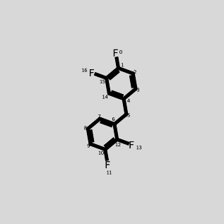 Fc1ccc([CH]c2cccc(F)c2F)cc1F